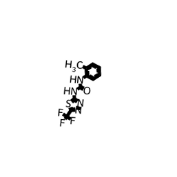 Cc1ccccc1NC(=O)Nc1nnc(C(F)(F)F)s1